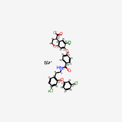 O=C(NCCc1ccc(Cl)cc1Oc1cccc(Cl)c1)c1ccc(Oc2cc3c(cc2Cl)C(C(=O)[O-])CCO3)cc1.[Na+]